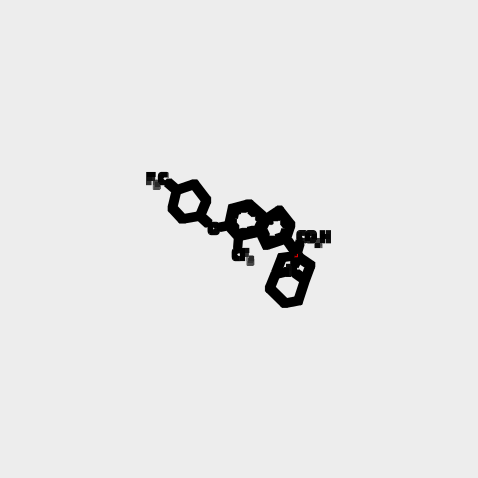 O=C(O)C1CC2CCCC(C1)N2Cc1ccc2ccc(OC3CCC(C(F)(F)F)CC3)c(C(F)(F)F)c2c1